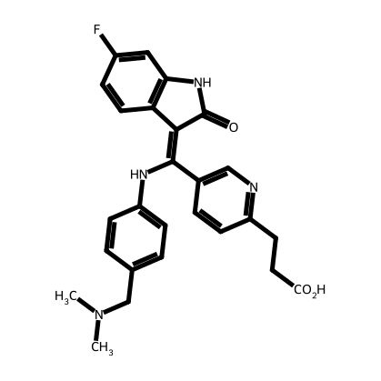 CN(C)Cc1ccc(NC(=C2C(=O)Nc3cc(F)ccc32)c2ccc(CCC(=O)O)nc2)cc1